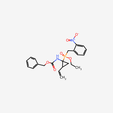 C=CC1CC1(NC(=O)OCc1ccccc1)P(=O)(Cc1ccccc1[N+](=O)[O-])OCC